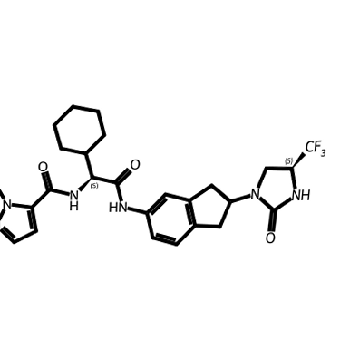 Cn1nccc1C(=O)N[C@H](C(=O)Nc1ccc2c(c1)CC(N1C[C@@H](C(F)(F)F)NC1=O)C2)C1CCCCC1